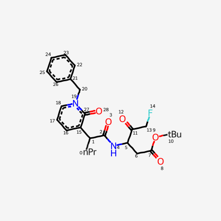 CCCC(C(=O)NC(CC(=O)OC(C)(C)C)C(=O)CF)c1cccn(Cc2ccccc2)c1=O